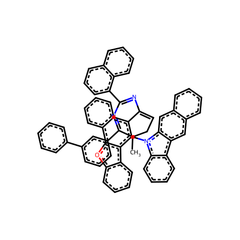 CC1C/C=C(c2c(-n3c4ccccc4c4cc5ccccc5cc43)c3c4ccccc4oc3c3ccccc23)/N=C(c2cccc3ccccc23)\N=C/1c1cccc(-c2ccccc2)c1